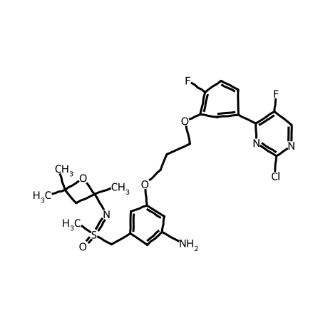 CC1(C)CC(C)(N=S(C)(=O)Cc2cc(N)cc(OCCCOc3cc(-c4nc(Cl)ncc4F)ccc3F)c2)O1